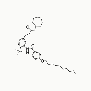 CCCCCCCCCCOc1ccc(C(=O)Nc2cc(CCC(=O)CC3CCCCCC3)ccc2C(C)(C)C)cc1